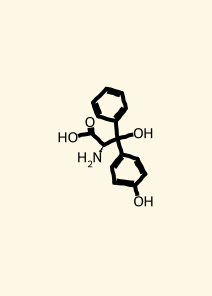 N[C@H](C(=O)O)C(O)(c1ccccc1)c1ccc(O)cc1